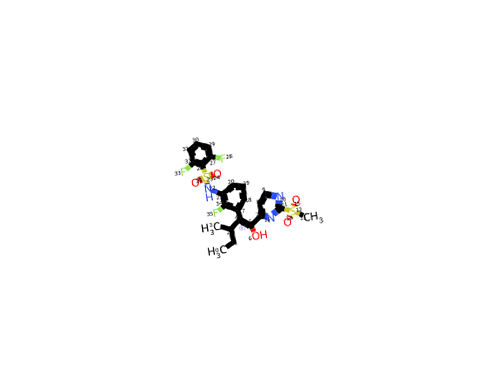 CCC(C)/C(=C(\O)c1ccnc(S(C)(=O)=O)n1)c1cccc(NS(=O)(=O)c2c(F)cccc2F)c1F